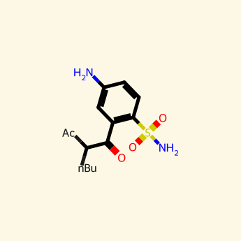 CCCCC(C(C)=O)C(=O)c1cc(N)ccc1S(N)(=O)=O